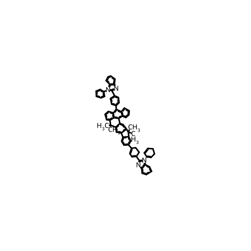 CC1(C)c2cc(C3=CC=C(c4nc5ccccc5n4C4=CCCC=C4)CC3)ccc2-c2cc3c(cc21)-c1c2ccccc2c(-c2ccc(-c4nc5ccccc5n4-c4ccccc4)cc2)c2cccc(c12)C3(C)C